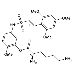 COc1cc(OC)c(/C=C/S(=O)(=O)Nc2ccc(OC)c(OC(=O)[C@H](N)CCCCN)c2)c(OC)c1